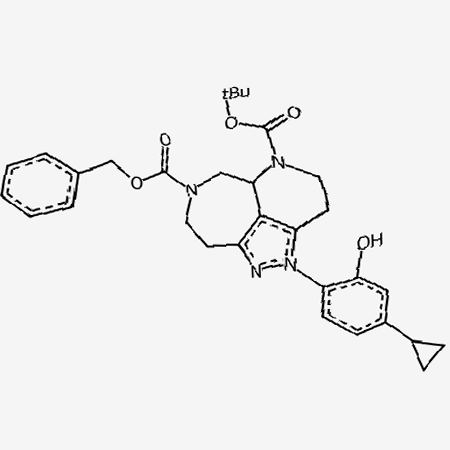 CC(C)(C)OC(=O)N1CCc2c3c(nn2-c2ccc(C4CC4)cc2O)CCN(C(=O)OCc2ccccc2)CC31